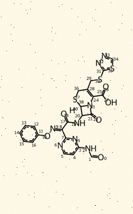 O=CNc1ccnc(/C(=N\Oc2ccccc2)C(=O)NC2C(=O)N3C(C(=O)O)=C(CSc4nncs4)CS[C@H]23)n1